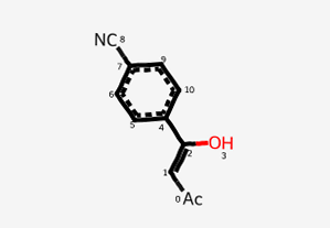 CC(=O)/C=C(\O)c1ccc(C#N)cc1